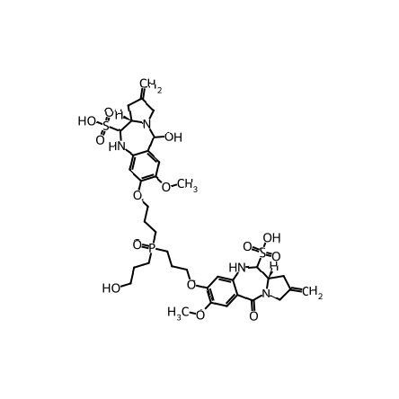 C=C1C[C@H]2C(S(=O)(=O)O)Nc3cc(OCCCP(=O)(CCCO)CCCOc4cc5c(cc4OC)C(O)N4CC(=C)C[C@H]4C(S(=O)(=O)O)N5)c(OC)cc3C(=O)N2C1